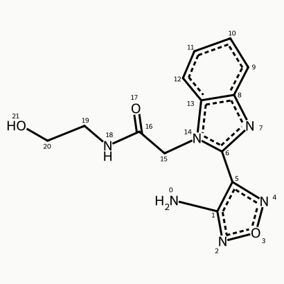 Nc1nonc1-c1nc2ccccc2n1CC(=O)NCCO